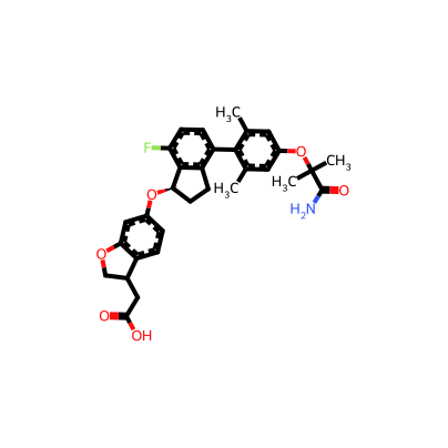 Cc1cc(OC(C)(C)C(N)=O)cc(C)c1-c1ccc(F)c2c1CC[C@H]2Oc1ccc2c(c1)OCC2CC(=O)O